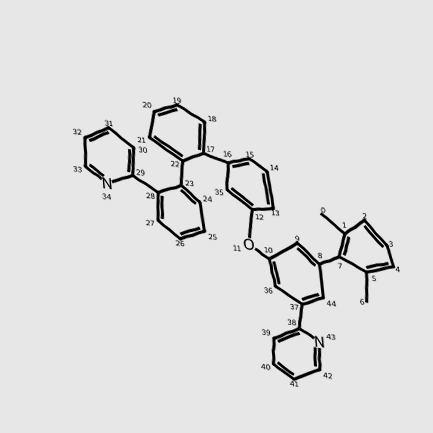 Cc1cccc(C)c1-c1cc(Oc2cccc(-c3ccccc3-c3ccccc3-c3ccccn3)c2)cc(-c2ccccn2)c1